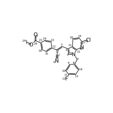 N#C/C(=C\c1cn(Cc2ccc(F)cc2)c2nc(Cl)ccc12)c1ccc(C(=O)OI)cc1